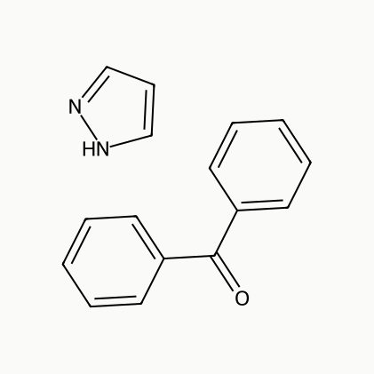 O=C(c1ccccc1)c1ccccc1.c1cn[nH]c1